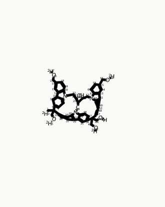 [2H]CC1(CO[2H])c2ccc3c(c2)c2cc(CO[2H])ccc2n3CC(C)C2Cn3c4ccc1cc4c1cc(ccc13)C(CO[2H])(CO[2H])c1ccc3c(c1)c1cc(CO[2H])ccc1n3CC2C